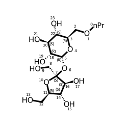 CCCOC[C@H]1O[C@H](O[C@]2(CO)O[C@H](CO)[C@@H](O)[C@@H]2O)[C@H](O)[C@@H](O)[C@@H]1O